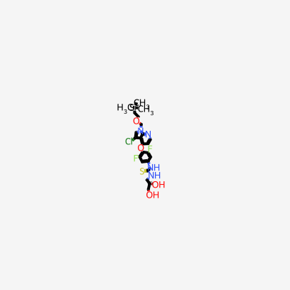 C[Si](C)(C)CCOCn1cc(Cl)c2c(Oc3c(F)cc(NC(=S)NC[C@@H](O)CO)cc3F)ccnc21